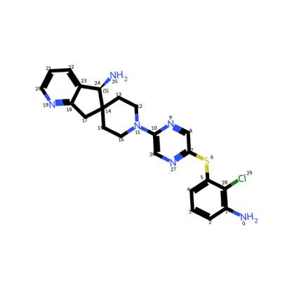 Nc1cccc(Sc2cnc(N3CCC4(CC3)Cc3ncccc3[C@H]4N)cn2)c1Cl